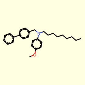 CCCCCCCCCN(Cc1ccc(-c2ccccc2)cc1)c1ccc(OC)cc1